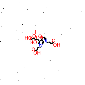 O=C(O)CCCN1C=C(C(O)C(O)C(O)CO)C2C(=O)C=CN(CCCC(=O)O)C2=C1